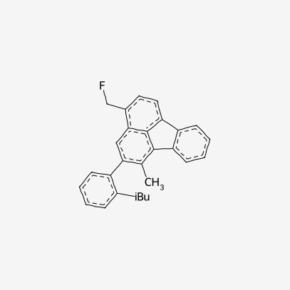 CCC(C)c1ccccc1-c1cc2c(CF)ccc3c2c(c1C)-c1ccccc1-3